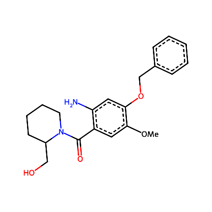 COc1cc(C(=O)N2CCCCC2CO)c(N)cc1OCc1ccccc1